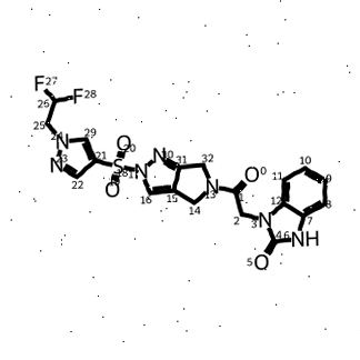 O=C(Cn1c(=O)[nH]c2ccccc21)N1Cc2cn(S(=O)(=O)c3cnn(CC(F)F)c3)nc2C1